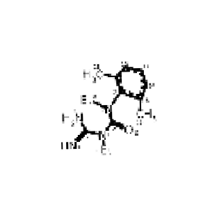 CCN(C(=N)N)C(=O)N(CC)c1c(C)cccc1C